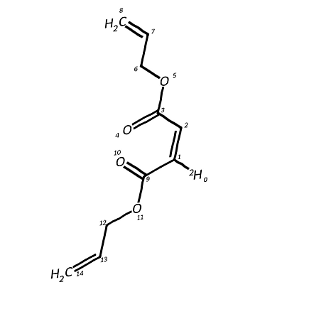 [2H]C(=CC(=O)OCC=C)C(=O)OCC=C